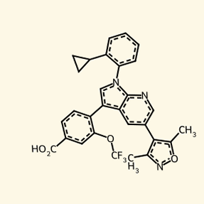 Cc1noc(C)c1-c1cnc2c(c1)c(-c1ccc(C(=O)O)cc1OC(F)(F)F)cn2-c1ccccc1C1CC1